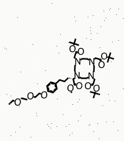 CCOCCOCCOc1ccc(CCC[C@@H](C(=O)OC)N2CCN(CC(=O)OC(C)(C)C)CCN(CC(=O)OC(C)(C)C)CCN(CC(=O)OC(C)(C)C)CC2)cc1